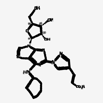 O=C(O)C=Cc1cnn(-c2nc(NC3CCCC3)c3ncn([C@@H]4O[C@@H](CO)[C@H](O)[C@@H]4O)c3n2)c1